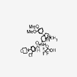 COc1ccc([C@@]23CC[C@@H](NC(=O)Nc4ccc(N5CCOCC5)c(Cl)c4)C[C@@H]2N(C)CC3)cc1OC.O=C(O)C(F)(F)F